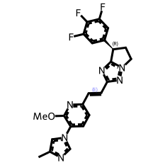 COc1nc(/C=C/c2nc3n(n2)CC[C@@H]3c2cc(F)c(F)c(F)c2)ccc1-n1cnc(C)c1